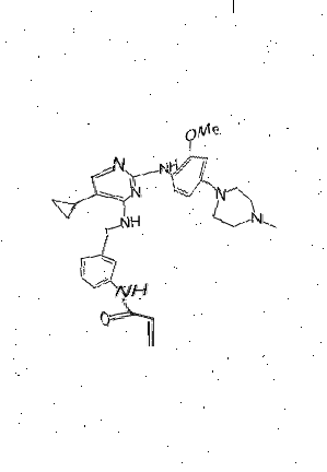 C=CC(=O)Nc1cccc(CNc2nc(Nc3ccc(N4CCN(C)CC4)cc3OC)ncc2C2CC2)c1